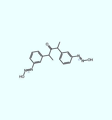 CC(C(=O)C(C)c1cccc(/N=N/O)c1)c1cccc(/N=N/O)c1